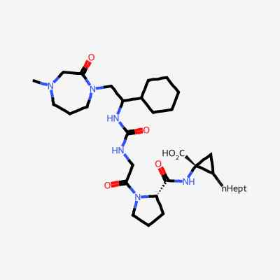 CCCCCCCC1C[C@]1(NC(=O)[C@@H]1CCCN1C(=O)CNC(=O)NC(CN1CCCN(C)CC1=O)C1CCCCC1)C(=O)O